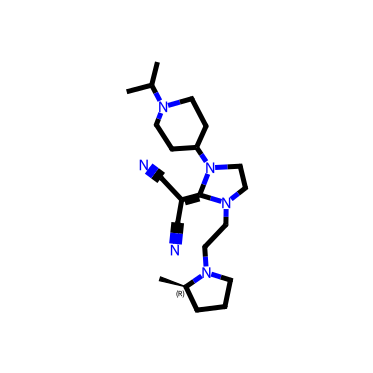 CC(C)N1CCC(N2CCN(CCN3CCC[C@H]3C)C2=C(C#N)C#N)CC1